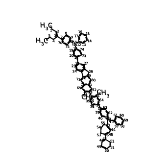 CC/C=C(\CCC)c1ccc(N(c2ccccc2)c2ccc(-c3ccc4c(c3)Cc3cc5cc(-c6ccc(-c7ccc(N(C8=CC=C(C9=CC=CCC9)CCC8)c8ccccc8)cc7)cc6C)c(C)cc5cc3-4)cc2)cc1